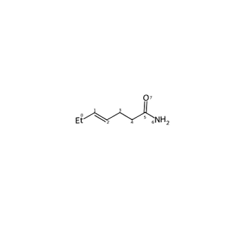 CCC=CCCC(N)=O